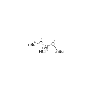 CCCC[O][Al][O]CCCC.Cl